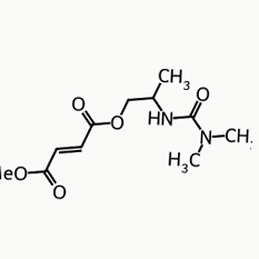 COC(=O)/C=C/C(=O)OCC(C)NC(=O)N(C)C